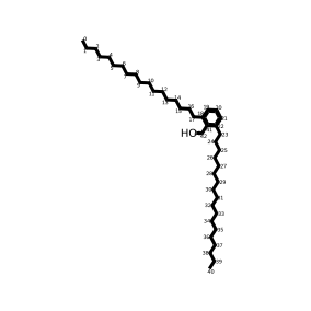 CCCCCCCCCCCCCCCCCCc1cccc(CCCCCCCCCCCCCCCCCC)c1CO